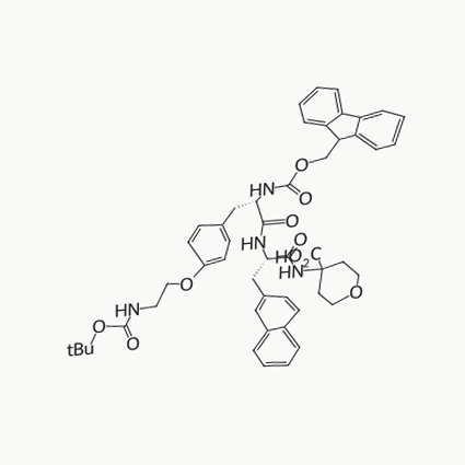 CC(C)(C)OC(=O)NCCOc1ccc(C[C@H](NC(=O)OCC2c3ccccc3-c3ccccc32)C(=O)N[C@@H](Cc2ccc3ccccc3c2)C(=O)NC2(C(=O)O)CCOCC2)cc1